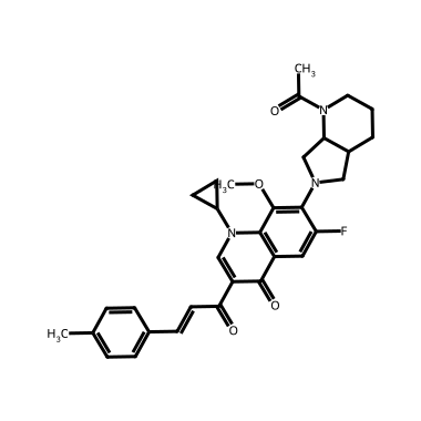 COc1c(N2CC3CCCN(C(C)=O)C3C2)c(F)cc2c(=O)c(C(=O)/C=C/c3ccc(C)cc3)cn(C3CC3)c12